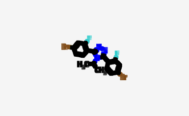 CC(C)n1c(-c2ccc(Br)cc2F)nnc1-c1ccc(Br)cc1F